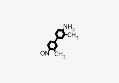 Cc1cc(-c2ccc(N=O)c(C)c2)ccc1N